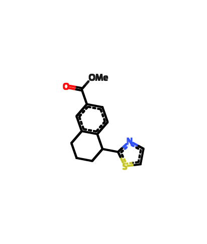 COC(=O)c1ccc2c(c1)CCCC2c1nccs1